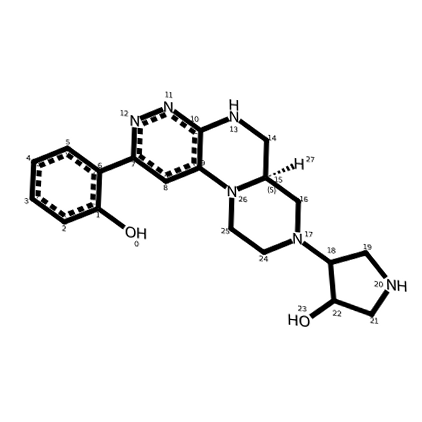 Oc1ccccc1-c1cc2c(nn1)NC[C@H]1CN(C3CNCC3O)CCN21